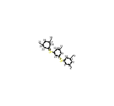 Cc1cc(C)cc(Sc2cc(C)cc(Sc3cc(C)cc(C)c3)c2)c1